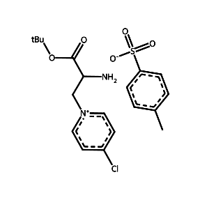 CC(C)(C)OC(=O)C(N)C[n+]1ccc(Cl)cc1.Cc1ccc(S(=O)(=O)[O-])cc1